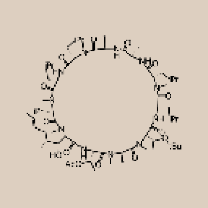 CC=CC[C@@H](C)[C@@H](O)[C@H]1C(=O)N[C@@H](C(C)OC(C)=O)C(=O)N(C)[C@H](C)C(=O)N(C)[C@@H](C(C)OC(C)(C)C)C(=O)N[C@@H](CC(C)C)C(=O)N(C)[C@@H](CC(C)C)C(=O)N[C@@H](C)C(=O)N[C@H](C)C(=O)N(C)[C@@H](CC(C)C)C(=O)N[C@@H](CC(C)C)C(=O)N(C)[C@@H](C(C)C)C(=O)N1C